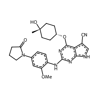 COc1cc(N2CCCC2=O)ccc1Nc1nc(O[C@H]2CC[C@@](C)(O)CC2)c2c(C#N)c[nH]c2n1